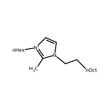 CCCCCCCCCCn1cc[n+](CCCCCC)c1C